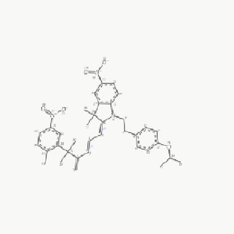 C=C(/C=C/C=C1/N(CCc2ccc(OC(C)C)cc2)c2ccc([N+](=O)[O-])cc2C1(C)C)C(C)(C)c1cc([N+](=O)[O-])ccc1C